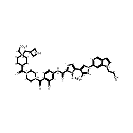 Cn1c(-c2cn(-c3cc4c(ccn4CCO)cn3)nc2C(F)(F)F)cnc1C(=O)Nc1ccc(C(=O)N2CCN(C(=O)C3CC[N+](CC(=O)O)(CC4CNC4)CC3)CC2)c(Cl)c1